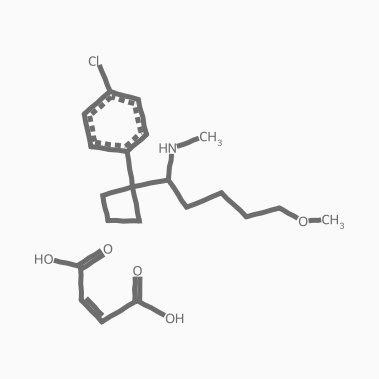 CNC(CCCCOC)C1(c2ccc(Cl)cc2)CCC1.O=C(O)/C=C\C(=O)O